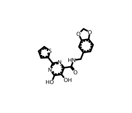 O=C(NCc1ccc2c(c1)OCO2)c1nc(-c2cccs2)nc(O)c1O